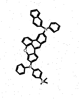 C[Si](C)(C)c1ccc(N(c2ccccc2)c2ccc3c(c2)Oc2cccc4c2c-3cc2ccc(N(c3ccccc3)c3ccc5ccccc5c3)cc24)cc1